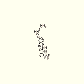 NCCCN[C@H]1CCN(C(=O)Cc2c[nH]c(NC(=O)Nc3ccccc3OC(F)(F)F)nc2=O)C1